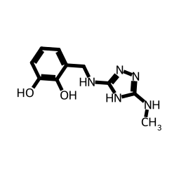 CNc1nnc(NCc2cccc(O)c2O)[nH]1